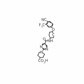 N#Cc1ccc(OC2CCC(NC(=O)c3cnc(N4CCC(C(=O)O)CC4)nc3)CC2)cc1C(F)(F)F